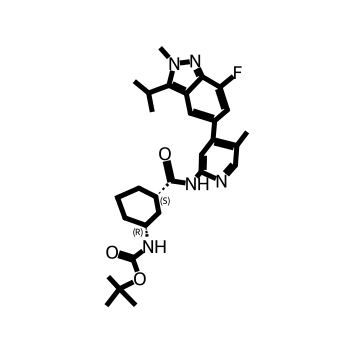 Cc1cnc(NC(=O)[C@H]2CCC[C@@H](NC(=O)OC(C)(C)C)C2)cc1-c1cc(F)c2nn(C)c(C(C)C)c2c1